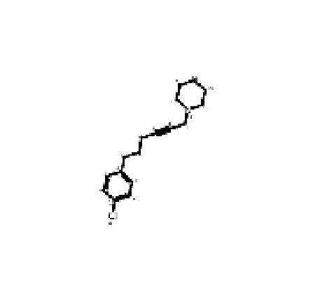 Clc1ccc(CCCC#CCN2CCCCC2)cc1